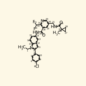 CCn1c(-c2ccc(Cl)cc2)cc2cc(NC(=O)c3cc(CNC(=O)C4(C)CC4)cnc3C(F)F)ccc21